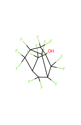 OC12C(F)(F)C3C(F)(F)C(F)(C1(F)F)C(F)(F)C(F)(C3(F)F)C2(F)F